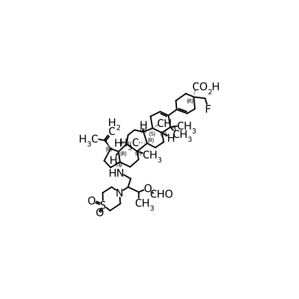 C=C(C)[C@@H]1CC[C@]2(NCC(C(C)OC=O)N3CCS(=O)(=O)CC3)CC[C@]3(C)[C@H](CC[C@@H]4[C@@]5(C)CC=C(C6=CC[C@@](CF)(C(=O)O)CC6)C(C)(C)[C@@H]5CC[C@]43C)[C@@H]12